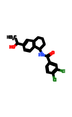 O=C(NC1CCCc2cc(C(O)C(=O)O)ccc21)c1ccc(Cl)c(Cl)c1